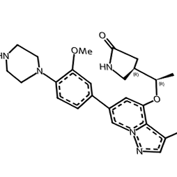 COc1cc(-c2cc(O[C@H](C)[C@H]3CNC(=O)C3)c3c(C)cnn3c2)ccc1N1CCNCC1